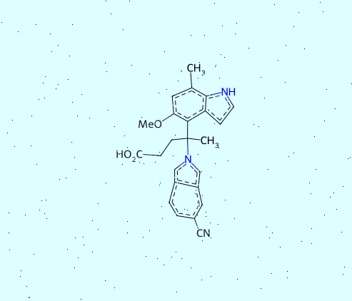 COc1cc(C)c2[nH]ccc2c1C(C)(CCC(=O)O)n1cc2ccc(C#N)cc2c1